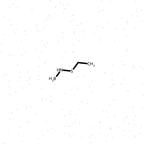 BNSCC